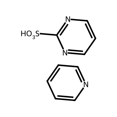 O=S(=O)(O)c1ncccn1.c1ccncc1